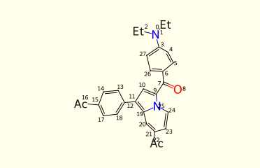 CCN(CC)c1ccc(C(=O)c2cc(-c3ccc(C(C)=O)cc3)c3cc(C(C)=O)ccn23)cc1